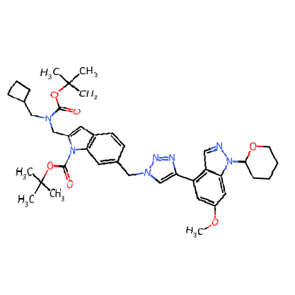 COc1cc(-c2cn(Cc3ccc4cc(CN(CC5CCC5)C(=O)OC(C)(C)C)n(C(=O)OC(C)(C)C)c4c3)nn2)c2cnn(C3CCCCO3)c2c1